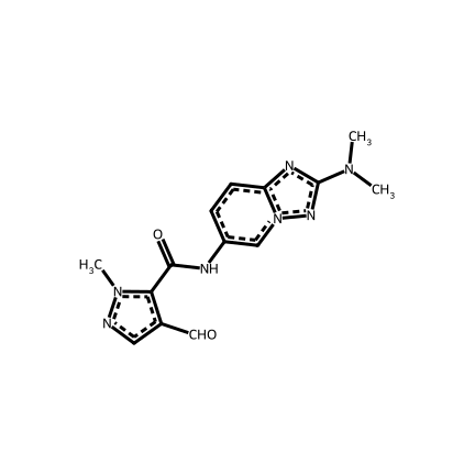 CN(C)c1nc2ccc(NC(=O)c3c(C=O)cnn3C)cn2n1